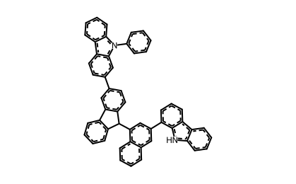 c1ccc(-n2c3ccccc3c3ccc(-c4ccc5c(c4)-c4ccccc4C5c4cc(-c5cccc6c5[nH]c5ccccc56)cc5ccccc45)cc32)cc1